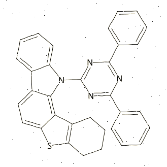 c1ccc(-c2nc(-c3ccccc3)nc(-n3c4ccccc4c4ccc5sc6c(c5c43)CCCC6)n2)cc1